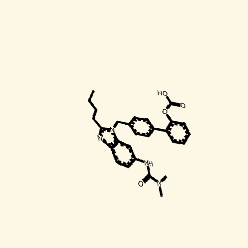 CCCCc1nc2ccc(NC(=O)N(C)C)cc2n1Cc1ccc(-c2ccccc2OC(=O)O)cc1